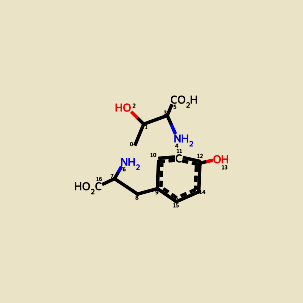 CC(O)C(N)C(=O)O.NC(Cc1ccc(O)cc1)C(=O)O